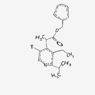 CCc1c(C(C)C)ncc(F)c1C(C)C(=O)OCc1ccccc1